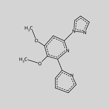 COc1cc(-n2cccn2)nc(-c2ccccn2)c1OC